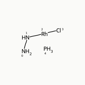 N[NH][Rh][Cl].P